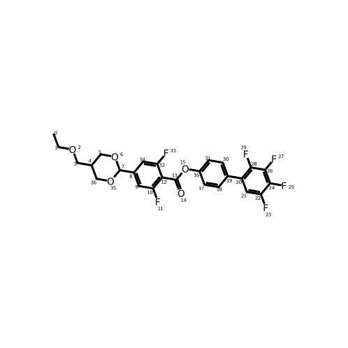 CCOCC1COC(c2cc(F)c(C(=O)Oc3ccc(-c4cc(F)c(F)c(F)c4F)cc3)c(F)c2)OC1